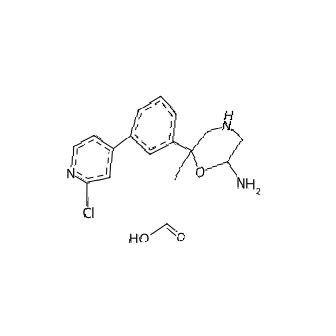 CC1(c2cccc(-c3ccnc(Cl)c3)c2)CNCC(N)O1.O=CO